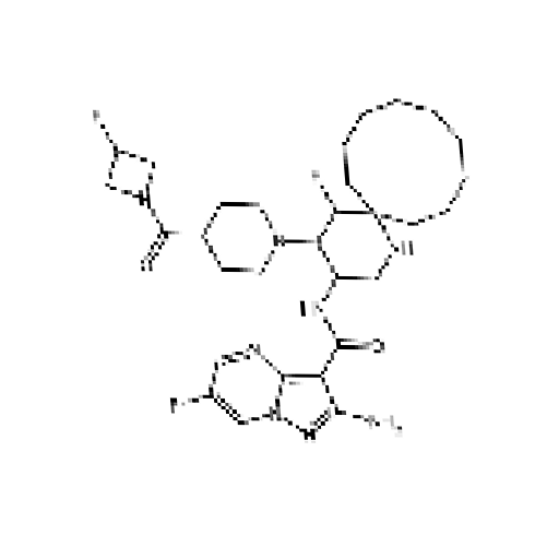 Nc1nn2cc(F)cnc2c1C(=O)NC1CNC2(CCCCCCCCC2)C(F)C1N1CCC(C(=O)N2CC(F)C2)CC1